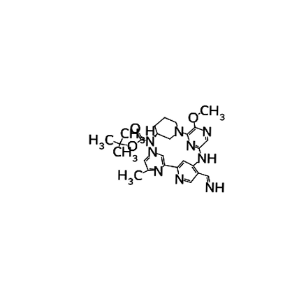 COc1ncc(Nc2cc(-c3cncc(C)n3)ncc2C=N)nc1N1CCC[C@H](NC(=O)OC(C)(C)C)C1